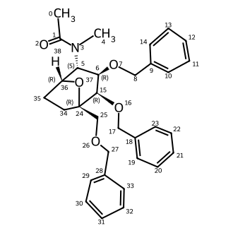 CC(=O)N(C)[C@@H]1[C@@H](OCc2ccccc2)[C@@H](OCc2ccccc2)[C@]2(COCc3ccccc3)CC[C@H]1O2